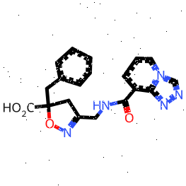 O=C(NCC1=NOC(Cc2ccccc2)(C(=O)O)C1)c1cccn2cnnc12